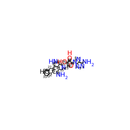 Nc1ncnc2c1ncn2[C@@H]1O[C@H](CN(CCC(N)C(=O)O)CC2CNCC(CCc3ccccc3)C2)[C@@H](O)[C@H]1O